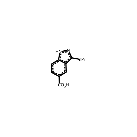 CCCc1n[nH]c2ccc(C(=O)O)cc12